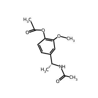 COc1cc([C@@H](C)NC(C)=O)ccc1OC(C)=O